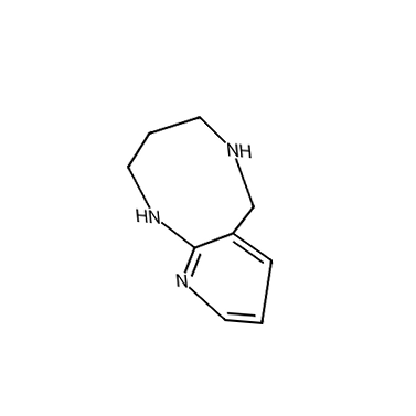 c1cnc2c(c1)CNCCCN2